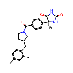 Cc1ccc(CC2CCN(C(=O)c3ccc([C@@]4(C(C)C)NC(=O)NC4=O)cc3)C2)c(C)c1